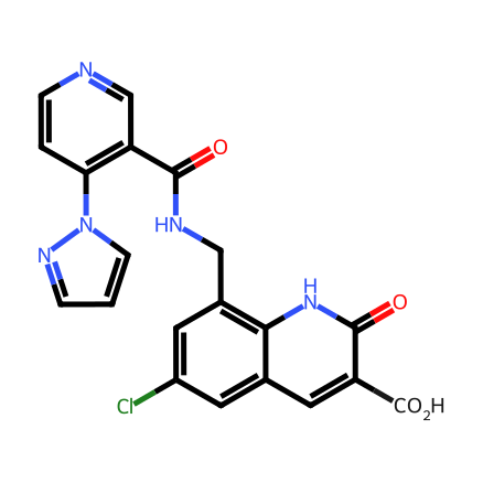 O=C(NCc1cc(Cl)cc2cc(C(=O)O)c(=O)[nH]c12)c1cnccc1-n1cccn1